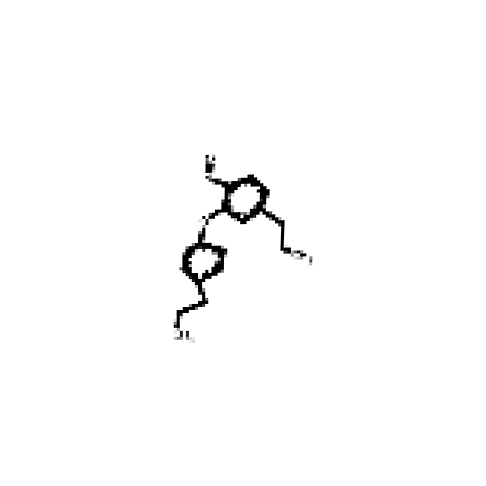 CCCc1ccc(Oc2cc(CCC)ccc2N=O)cc1